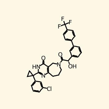 O=C([C@H](O)c1cccc(-c2ccc(C(F)(F)F)cc2)c1)N1CCCc2nc(C3(c4cccc(Cl)c4)CC3)[nH]c(=O)c2C1